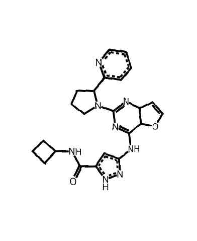 O=C(NC1CCC1)c1cc(NC2=NC(N3CCCC3c3ccccn3)=NC3C=COC23)n[nH]1